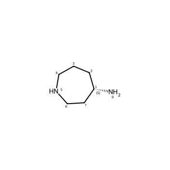 N[C@H]1CCCNCC1